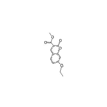 CCOc1ccc2cc(C(=O)OC)c(=O)oc2c1